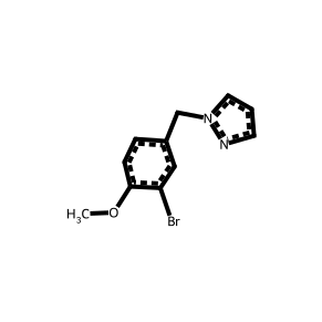 COc1ccc(Cn2cccn2)cc1Br